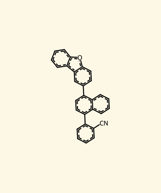 N#Cc1ccccc1-c1ccc(-c2ccc3oc4ccccc4c3c2)c2ccccc12